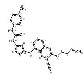 COCCOc1cc2nccc(Sc3ccc(NC(=O)Nc4ccc(C)cc4)s3)c2cc1C#N